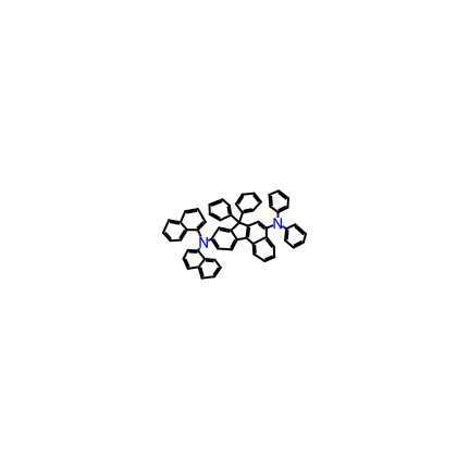 c1ccc(N(c2ccccc2)c2cc3c(c4ccccc24)-c2ccc(N(c4cccc5ccccc45)c4cccc5ccccc45)cc2C3(c2ccccc2)c2ccccc2)cc1